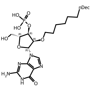 CCCCCCCCCCCCCCCCO[C@@H]1[C@H](OP(=O)(O)O)[C@@H](CO)O[C@H]1n1cnc2c(=O)[nH]c(N)nc21